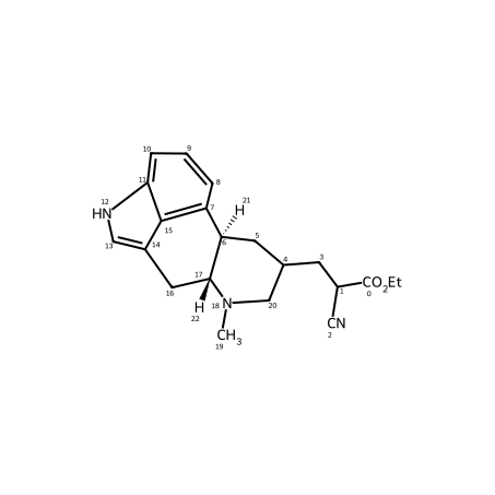 CCOC(=O)C(C#N)CC1C[C@@H]2c3cccc4[nH]cc(c34)C[C@H]2N(C)C1